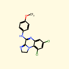 FC(F)(F)Oc1ccc(NC2=Nc3cc(Cl)cc(Cl)c3N3CCN=C23)cc1